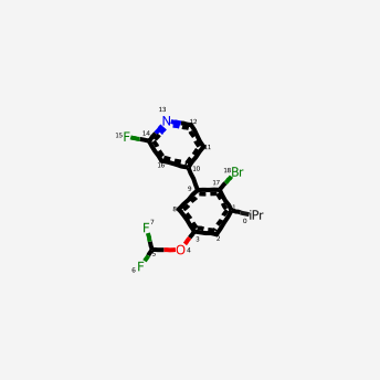 CC(C)c1cc(OC(F)F)cc(-c2ccnc(F)c2)c1Br